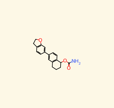 NC(=O)OC1CCCc2cc(-c3ccc4c(c3)OCC4)ccc21